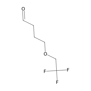 O=CCCCOCC(F)(F)F